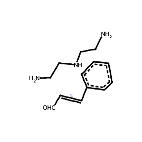 NCCNCCN.O=C/C=C/c1ccccc1